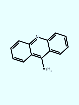 [AsH2]c1c2ccccc2nc2ccccc12